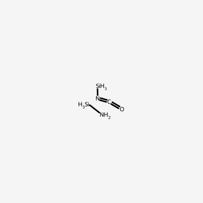 N[SiH3].O=C=N[SiH3]